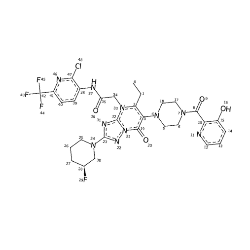 CCc1c(N2CCN(C(=O)c3ncccc3O)CC2)c(=O)n2nc(N3CCC[C@H](F)C3)nc2n1CC(=O)Nc1ccc(C(F)(F)F)nc1Cl